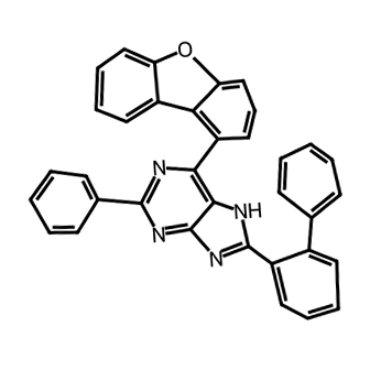 c1ccc(-c2nc(-c3cccc4oc5ccccc5c34)c3[nH]c(-c4ccccc4-c4ccccc4)nc3n2)cc1